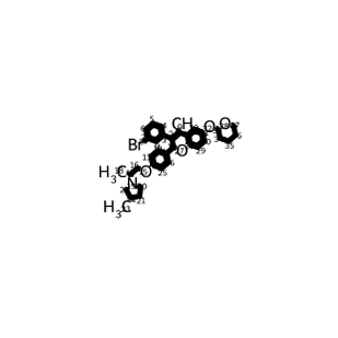 CC1=C(c2cccc(Br)c2)C(c2ccc(OC[C@H](C)N3CCC(C)C3)cc2)Oc2ccc(OC3CCCCO3)cc21